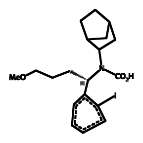 COCCC[C@@H](c1ccccc1I)N(C(=O)O)C1CC2CCC1C2